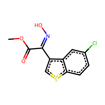 COC(=O)C(=NO)c1csc2ccc(Cl)cc12